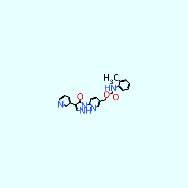 Cc1ccccc1NC(=O)OCc1ccc(-n2[nH]cc(-c3cccnc3)c2=O)nc1